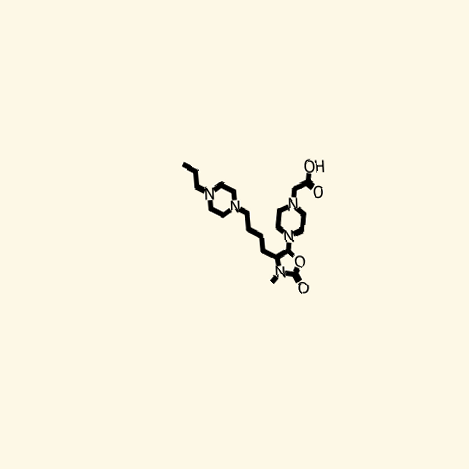 CCCN1CCN(CCCCC2C(N3CCN(CC(=O)O)CC3)OC(=O)N2C)CC1